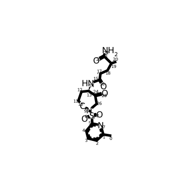 Cc1cccc(S(=O)(=O)N2CCC[C@H](NC(=O)[CH]CC(C)C(N)=O)C(=O)C2)n1